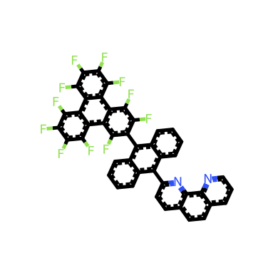 Fc1c(F)c(F)c2c(c1F)c1c(F)c(F)c(F)c(F)c1c1c(F)c(-c3c4ccccc4c(-c4ccc5ccc6cccnc6c5n4)c4ccccc34)c(F)c(F)c21